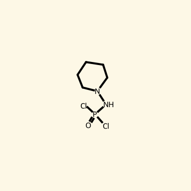 O=P(Cl)(Cl)NN1CCCCC1